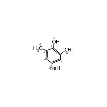 Cc1cccc(C)c1O.[NaH]